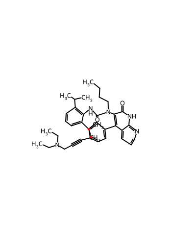 CCCCN(C(=O)Nc1c(C(C)C)cccc1C(C)C)c1c(-c2ccc(C#CCN(CC)CC)cc2)c2cccnc2[nH]c1=O